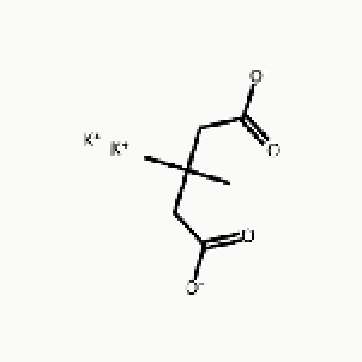 CC(C)(CC(=O)[O-])CC(=O)[O-].[K+].[K+]